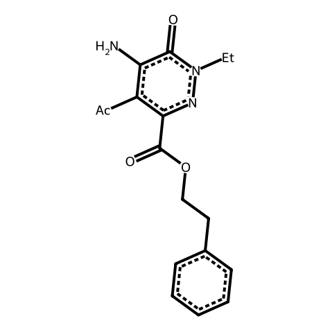 CCn1nc(C(=O)OCCc2ccccc2)c(C(C)=O)c(N)c1=O